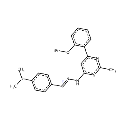 Cc1nc(N/N=C/c2ccc(N(C)C)cc2)cc(-c2ccccc2OC(C)C)n1